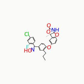 CCCc1cc(/C(=N/O)c2ccc(Cl)cc2F)ccc1Oc1cccc([C@@]2(C)OC(=O)NC2=O)c1